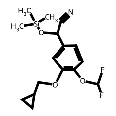 C[Si](C)(C)OC(C#N)c1ccc(OC(F)F)c(OCC2CC2)c1